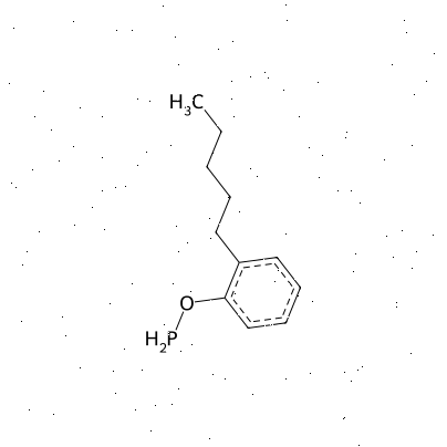 CCCCCc1ccccc1OP